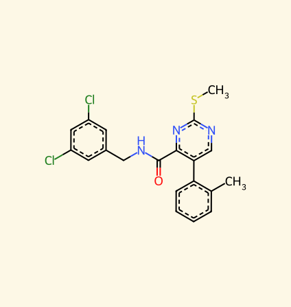 CSc1ncc(-c2ccccc2C)c(C(=O)NCc2cc(Cl)cc(Cl)c2)n1